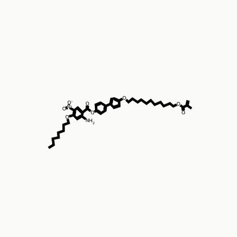 C=C(C)C(=O)OCCCCCCCCCCCOc1ccc(-c2ccc(OC(=O)c3cc([N+](=O)[O-])c(OCCCCCCCC)cc3N)cc2)cc1